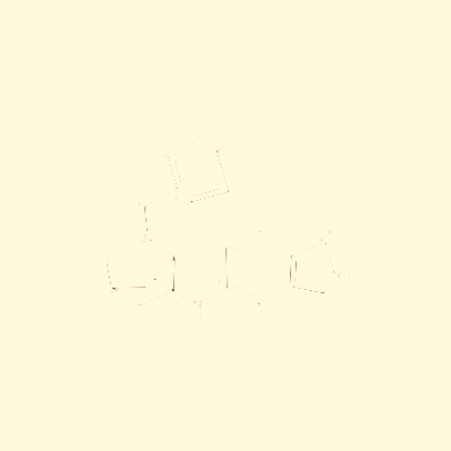 Cc1ccc(CN2CC3CCC2C(Nc2ccc4[nH]ncc4c2)C3)cc1